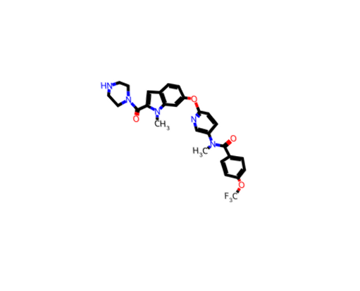 CN(C(=O)c1ccc(OC(F)(F)F)cc1)c1ccc(Oc2ccc3cc(C(=O)N4CCNCC4)n(C)c3c2)nc1